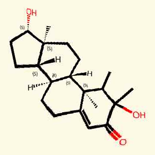 CC1C(C)(O)C(=O)C=C2CC[C@H]3[C@@H]4CC[C@H](O)[C@@]4(C)CC[C@@H]3[C@]21C